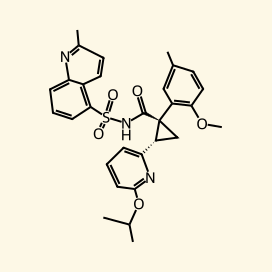 COc1ccc(C)cc1[C@]1(C(=O)NS(=O)(=O)c2cccc3nc(C)ccc23)C[C@@H]1c1cccc(OC(C)C)n1